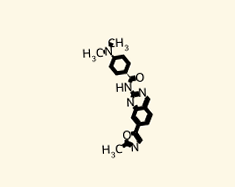 Cc1ncc(-c2ccc3cnc(NC(=O)[C@H]4CC[C@H](N(C)C)CC4)nc3c2)o1